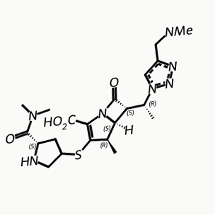 CNCc1cn([C@H](C)[C@H]2C(=O)N3C(C(=O)O)=C(SC4CN[C@H](C(=O)N(C)C)C4)[C@H](C)[C@H]23)nn1